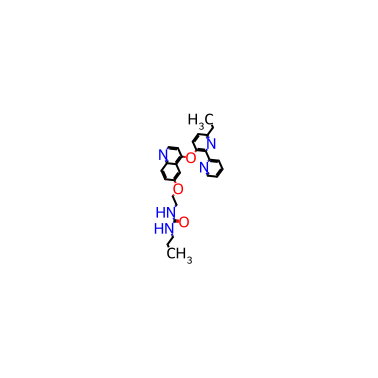 CCCNC(=O)NCCOc1ccc2nccc(Oc3ccc(CC)nc3-c3ccccn3)c2c1